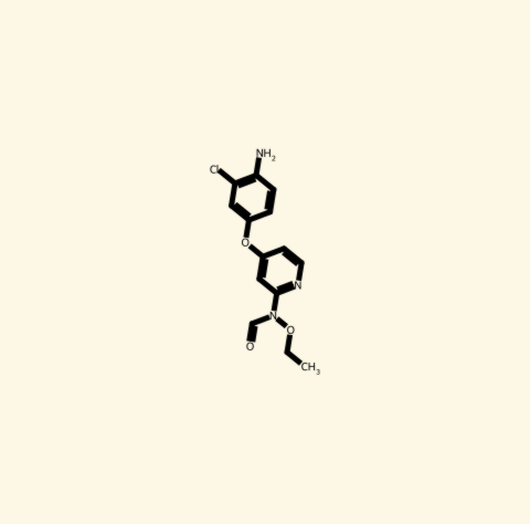 CCON(C=O)c1cc(Oc2ccc(N)c(Cl)c2)ccn1